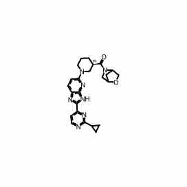 O=C([C@@H]1CCCN(c2ccc3nc(-c4ccnc(C5CC5)n4)[nH]c3n2)C1)N1CC2CC1CO2